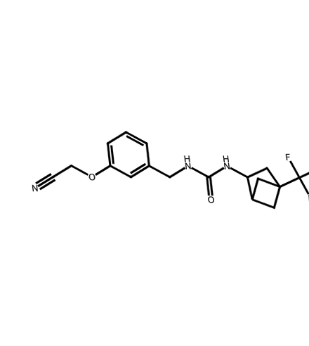 N#CCOc1cccc(CNC(=O)NC2CC3(C(F)(F)F)CC2C3)c1